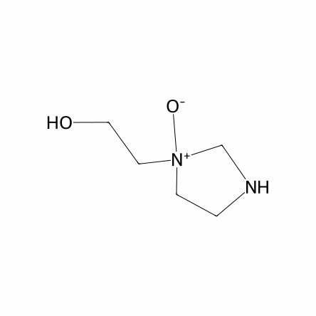 [O-][N+]1(CCO)CCNC1